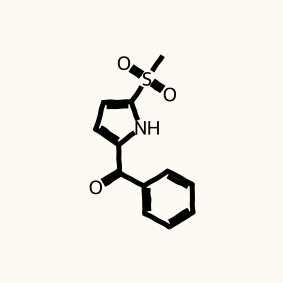 CS(=O)(=O)c1ccc(C(=O)c2ccccc2)[nH]1